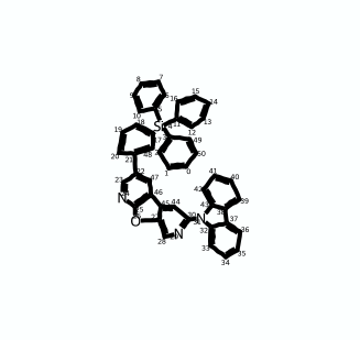 c1ccc([Si](c2ccccc2)(c2ccccc2)c2cccc(-c3cnc4oc5cnc(-n6c7ccccc7c7ccccc76)cc5c4c3)c2)cc1